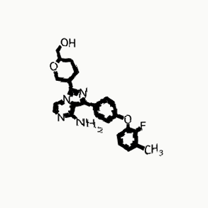 Cc1cccc(Oc2ccc(-c3nc(C4CCC(CO)OC4)n4ccnc(N)c34)cc2)c1F